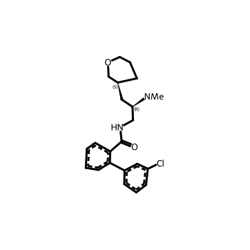 CN[C@@H](CNC(=O)c1[c]cccc1-c1cccc(Cl)c1)C[C@@H]1CCCOC1